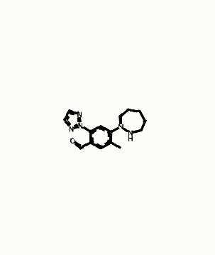 Cc1cc(C=O)c(-n2nccn2)cc1N1CCCCCN1